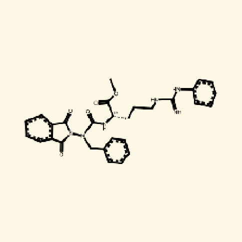 COC(=O)[C@H](CCCNC(=N)Nc1ccccc1)NC(=O)N(Cc1ccccc1)N1C(=O)c2ccccc2C1=O